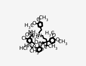 COc1ccc(CCN(C)CCCC(C#N)(c2ccc(OC)c(OC)c2)C(C)C)cc1OC.Cc1ccccc1N1C(=O)c2cc(S(N)(=O)=O)c(Cl)cc2NC1C.Cl